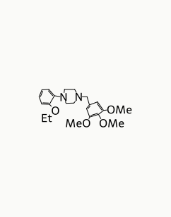 CCOc1ccccc1N1CCN(Cc2cc(OC)c(OC)c(OC)c2)CC1